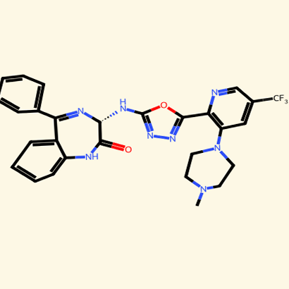 CN1CCN(c2cc(C(F)(F)F)cnc2-c2nnc(N[C@H]3N=C(c4ccccc4)c4ccccc4NC3=O)o2)CC1